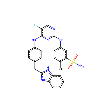 Cc1ccc(Nc2ncc(F)c(Nc3ccc(Cc4nc5ccccc5[nH]4)cc3)n2)cc1S(N)(=O)=O